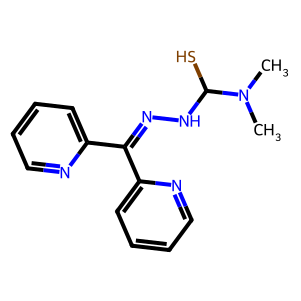 CN(C)C(S)NN=C(c1ccccn1)c1ccccn1